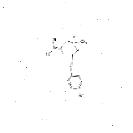 CC1(C)CC(C=Cc2ccc([N+](=O)[O-])cc2)=CC(=C(C#N)C#N)C1